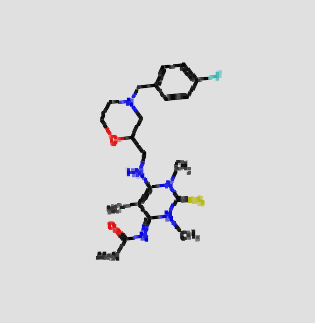 CNC(=O)N=c1c(C#N)c(NCC2CN(Cc3ccc(F)cc3)CCO2)n(C)c(=S)n1C